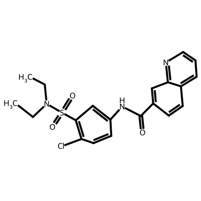 CCN(CC)S(=O)(=O)c1cc(NC(=O)c2ccc3cccnc3c2)ccc1Cl